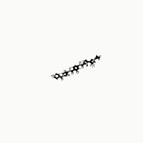 Cn1c(-c2cn(C3CC3(F)F)nc2C(F)(F)F)cnc1C(=O)Nc1ccc(C(=O)N[C@H]2[C@@H]3CN(C(=O)C4CCNCC4)C[C@@H]32)c(Cl)c1